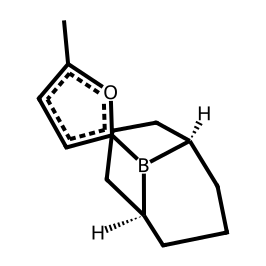 Cc1ccc(B2[C@H]3CCC[C@@H]2CCC3)o1